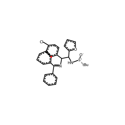 CC(C)(C)[S@@+]([O-])NC(c1ccco1)C(N=C(c1ccccc1)c1ccccc1)c1ccc(Cl)cc1